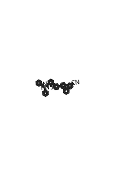 N#Cc1ccc2c(c1)-c1ccc(-c3ccc4sc5c(-c6nc(-c7ccccc7)nc(-c7ccccc7)n6)cccc5c4c3)cc1C21CCCCC1